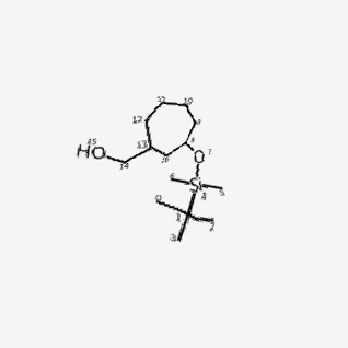 CC(C)(C)[Si](C)(C)OC1CCCCC(CO)C1